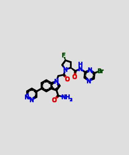 NC(=O)c1cn(CC(=O)N2C[C@H](F)C[C@H]2C(=O)Nc2cncc(Br)n2)c2ccc(-c3ccnnc3)cc12